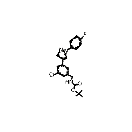 CC(C)(C)OC(=O)NCc1cc(Cl)cc(-c2cnn(-c3ccc(F)cc3)c2)c1